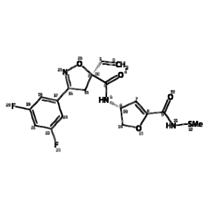 C=C[C@]1(C(=O)N[C@@H]2C=C(C(=O)NSC)OC2)CC(c2cc(F)cc(F)c2)=NO1